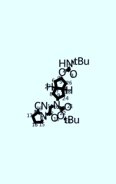 CC(C)(C)NC(=O)O[C@H]1C[C@H]2CC(N(CC(=O)N3CCC[C@H]3C#N)C(=O)OC(C)(C)C)C[C@H]2C1